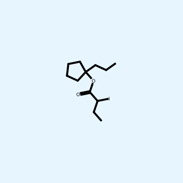 CCCC1(OC(=O)C(I)CC)CCCC1